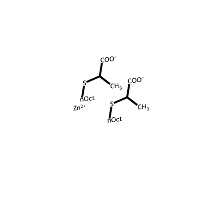 CCCCCCCCSC(C)C(=O)[O-].CCCCCCCCSC(C)C(=O)[O-].[Zn+2]